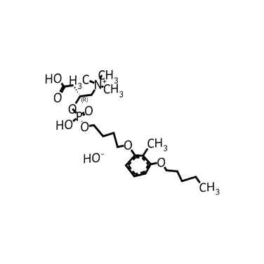 CCCCCOc1cccc(OCCCCOP(=O)(O)O[C@H](CC(=O)O)C[N+](C)(C)C)c1C.[OH-]